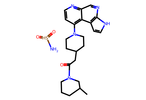 CC1CCCN(C(=O)CC2CCN(c3ccnc4cnc5[nH]ccc5c34)CC2)C1.N[SH](=O)=O